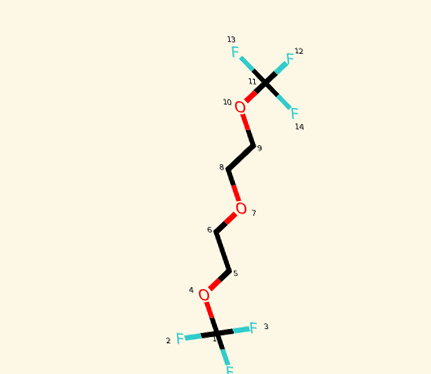 FC(F)(F)OCCOCCOC(F)(F)F